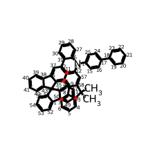 CC1(C)c2ccccc2-c2ccc(N(c3ccc(-c4ccccc4)cc3)c3ccccc3-c3ccc4c(c3)-c3ccccc3C43c4ccccc4-c4ccccc43)cc21